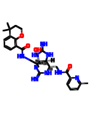 Cc1cccc(C(=O)NC[C@@H]2NC(=N)N3CC(NC(=O)c4cccc5c4OCCC5(C)C)[C@@H](O)[C@@]34NC(=N)N[C@@H]24)n1